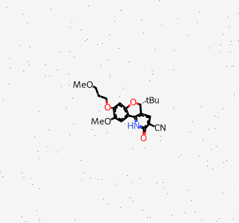 COCCCOc1cc2c(cc1OC)-c1[nH]c(=O)c(C#N)cc1[C@@H](C(C)(C)C)O2